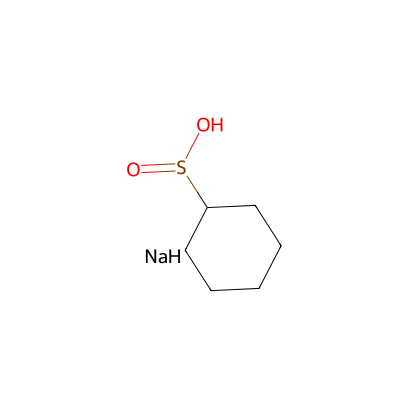 O=S(O)C1CCCCC1.[NaH]